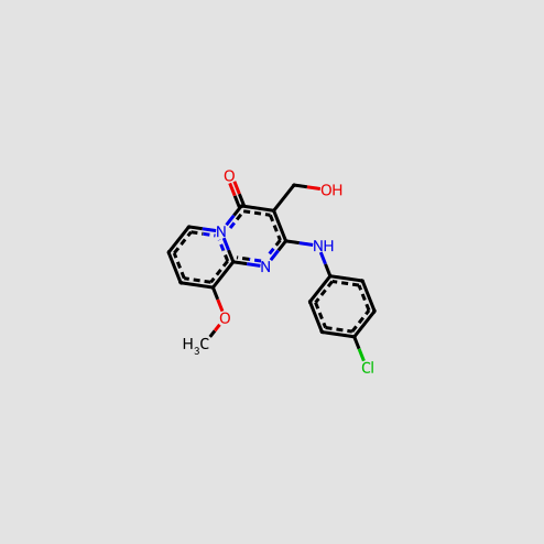 COc1cccn2c(=O)c(CO)c(Nc3ccc(Cl)cc3)nc12